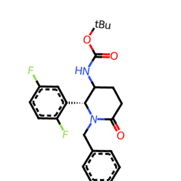 CC(C)(C)OC(=O)NC1CCC(=O)N(Cc2ccccc2)[C@@H]1c1cc(F)ccc1F